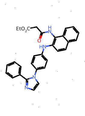 CCOC(=O)CC(=O)Nc1c(Nc2ccc(-n3ccnc3-c3ccccc3)cc2)ccc2ccccc12